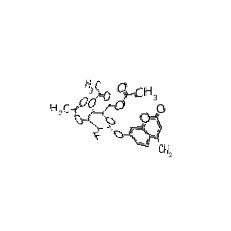 CC(=O)OC[C@H]1O[C@H](Oc2ccc3c(C)cc(=O)oc3c2)[C@@H](F)[C@@H](OC(C)=O)[C@@H]1OC(C)=O